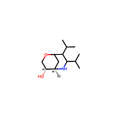 CC(C)C1N[C@@H]2CC(OC[C@H]2O)C1C(C)C